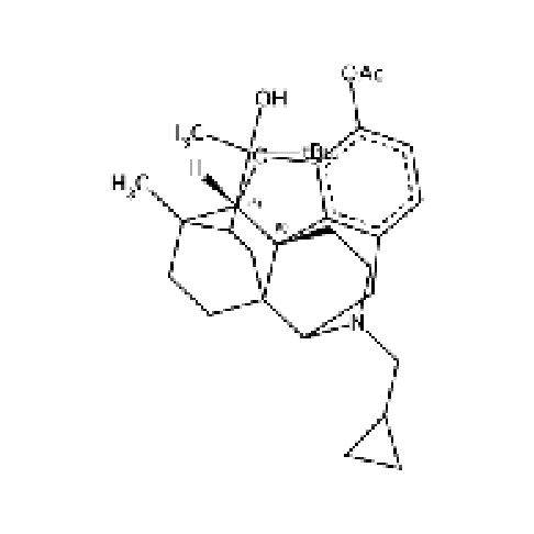 CC(=O)Oc1ccc2c3c1O[C@H]1C4(C)CCC5(CC4C(C)(O)C(C)(C)C)C(C2)N(CC2CC2)CC[C@]315